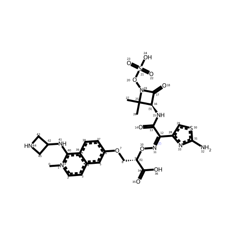 C[n+]1ccc2cc(OC[C@H](O/N=C(\C(=O)N[C@@H]3C(=O)N(OS(=O)(=O)O)C3(C)C)c3csc(N)n3)C(=O)O)ccc2c1NC1CNC1